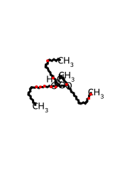 CCCCC/C=C\C/C=C\CCCCCCCCOC(CCCN(C)C)COCC(COCCCCCCCCC/C=C\C/C=C\CCCCCC)OCCCCCCCC/C=C\C/C=C\CCCCC